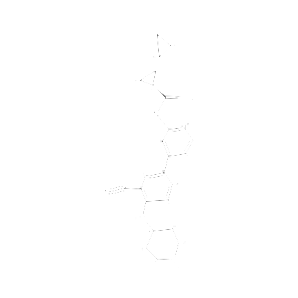 N#Cc1cc(-c2ccnc(NC(=O)[C@H]3C[C@@H]3C3CC3)c2)ccc1OC1CCOCC1